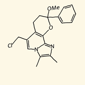 COC1(c2ccccc2)CCc2c(CCl)cn3c(C)c(C)nc3c2O1